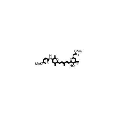 COC(=O)C[C@@H]1CC2(CO2)[C@H](O)C(/C=C/C(C)=C/CC2OC(C)C(NC(=O)/C=C\C(C)OC)CC2C)O1